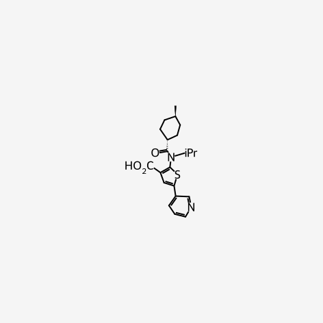 CC(C)N(c1sc(-c2cccnc2)cc1C(=O)O)C(=O)[C@H]1CC[C@H](C)CC1